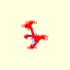 C[C@@H]1O[C@@H](OCCNC(=O)CC[C@H](NC(=O)CCCNC(=O)CN(CC(=O)NCCCCCC(=O)NCCO[C@H]2O[C@H](CO[C@H]3O[C@H](CO)[C@@H](O)[C@H](O)[C@@H]3O)[C@@H](O)[C@H](O[C@H]3O[C@H](CO)[C@@H](O)[C@H](O)[C@@H]3O)[C@@H]2O)CC(=O)NCCCCCC(=O)ON2C(=O)CCC2=O)C(=O)NCCO[C@H]2O[C@H](CO[C@H]3O[C@H](CO)[C@@H](O)[C@H](O)[C@@H]3O)[C@@H](O)[C@H](O[C@H]3O[C@H](CO)[C@@H](O)[C@H](O)[C@@H]3O)[C@@H]2O)[C@@H](O)[C@H](O)[C@@H]1O